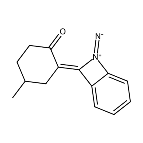 CC1CCC(=O)C(=C2c3ccccc3[N+]2=[N-])C1